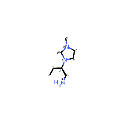 CCC(CN)N1CCN(C)C1